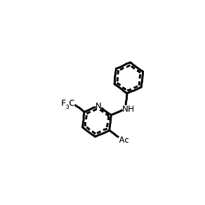 CC(=O)c1ccc(C(F)(F)F)nc1Nc1ccccc1